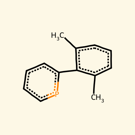 Cc1cccc(C)c1-c1ccccp1